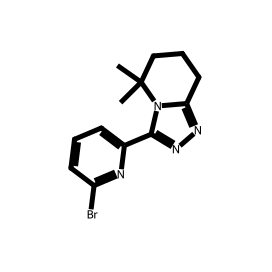 CC1(C)CCCc2nnc(-c3cccc(Br)n3)n21